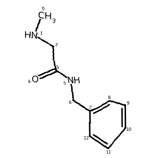 CNCC(=O)NCc1ccccc1